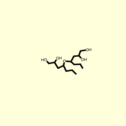 CCCC(CC(O)CO)OC(CCC)CC(O)CO